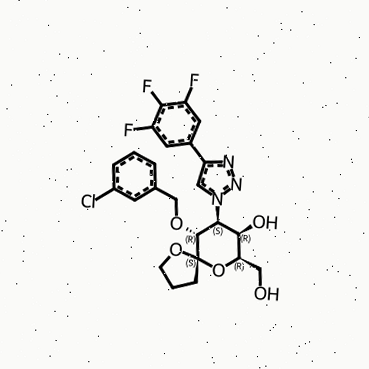 OC[C@H]1O[C@@]2(CCCO2)[C@H](OCc2cccc(Cl)c2)[C@@H](n2cc(-c3cc(F)c(F)c(F)c3)nn2)[C@H]1O